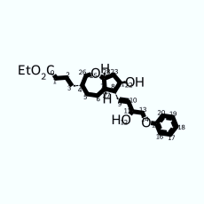 CCOC(=O)CCC[C@H]1CC[C@@H]2[C@@H](/C=C/C(O)COc3ccccc3)[C@H](O)C[C@@H]2OC1